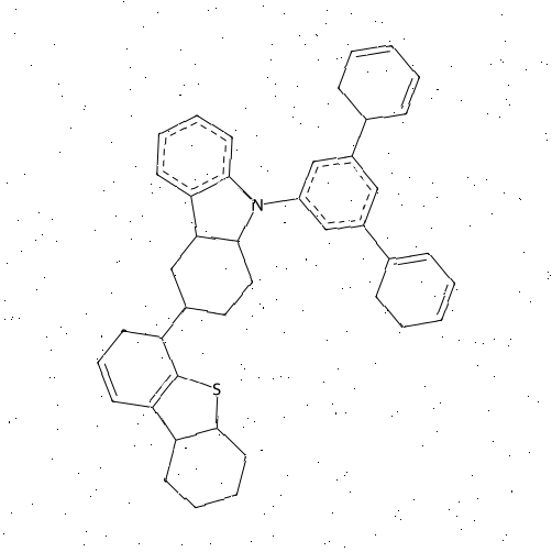 C1=CCCC(c2cc(C3C=CC=CC3)cc(N3c4ccccc4C4CC(C5CC=CC6=C5SC5CCCCC65)CCC43)c2)=C1